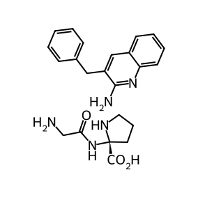 NCC(=O)N[C@@]1(C(=O)O)CCCN1.Nc1nc2ccccc2cc1Cc1ccccc1